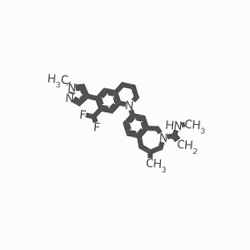 C=C(NC)N1Cc2cc(N3CCCc4cc(-c5cnn(C)c5)c(C(F)F)cc43)ccc2CC(C)C1